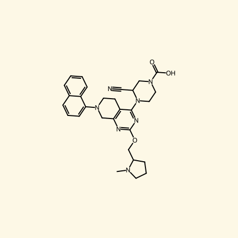 CN1CCCC1COc1nc2c(c(N3CCN(C(=O)O)CC3C#N)n1)CCN(c1cccc3ccccc13)C2